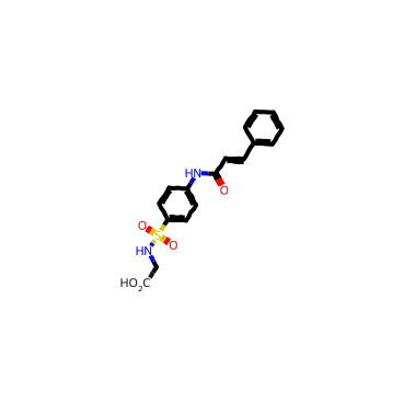 O=C(O)CNS(=O)(=O)c1ccc(NC(=O)/C=C/c2ccccc2)cc1